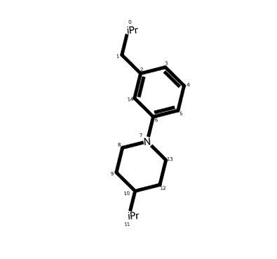 CC(C)Cc1cccc(N2CCC(C(C)C)CC2)c1